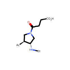 CCN[C@H]1CN(C(=O)CCC(=O)O)C[C@@H]1C(C)=O